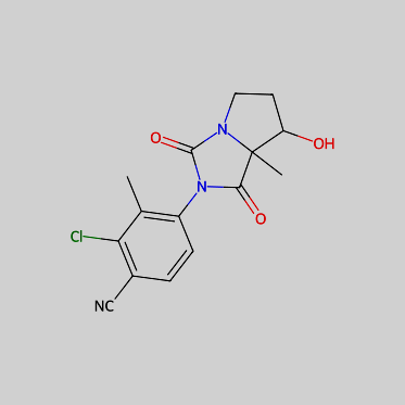 Cc1c(N2C(=O)N3CCC(O)C3(C)C2=O)ccc(C#N)c1Cl